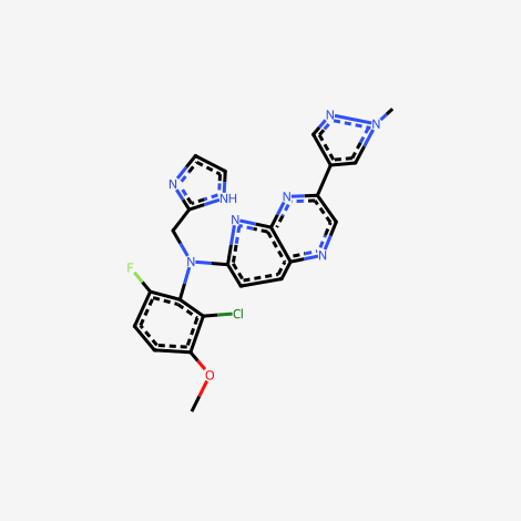 COc1ccc(F)c(N(Cc2ncc[nH]2)c2ccc3ncc(-c4cnn(C)c4)nc3n2)c1Cl